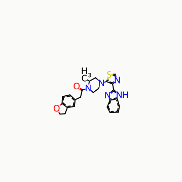 CC1CN(c2scnc2-c2nc3ccccc3[nH]2)CCN1C(=O)Cc1ccc2c(c1)CCO2